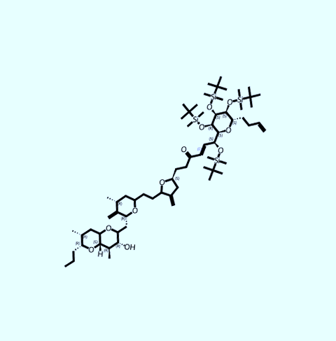 C=CCC[C@@H]1O[C@@H]([C@H](/C=C/C(=O)CC[C@H]2CC(=C)C(CCC3C[C@@H](C)C(=C)[C@@H](CC4OC5C[C@@H](C)[C@@H](CCC)O[C@H]5[C@H](C)[C@H]4O)O3)O2)O[Si](C)(C)C(C)(C)C)[C@@H](O[Si](C)(C)C(C)(C)C)[C@@H](O[Si](C)(C)C(C)(C)C)[C@H]1O[Si](C)(C)C(C)(C)C